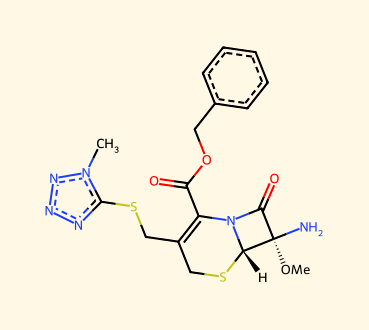 CO[C@@]1(N)C(=O)N2C(C(=O)OCc3ccccc3)=C(CSc3nnnn3C)CS[C@H]21